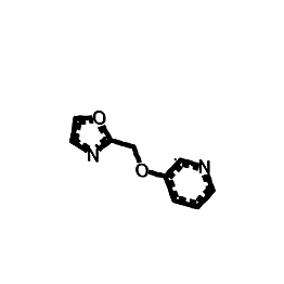 [c]1ncccc1OCc1ncco1